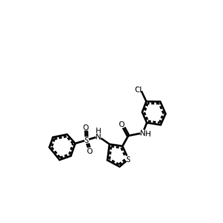 O=C(Nc1cccc(Cl)c1)c1sccc1NS(=O)(=O)c1ccccc1